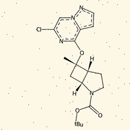 CC(C)(C)OC(=O)N1CC[C@@H]2[C@H]1C[C@]2(C)Oc1nc(Cl)cn2nccc12